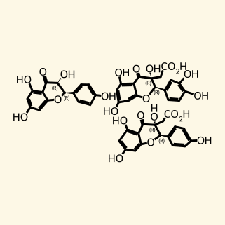 O=C(O)C[C@]1(O)C(=O)c2c(O)cc(O)cc2O[C@@H]1c1ccc(O)c(O)c1.O=C(O)C[C@]1(O)C(=O)c2c(O)cc(O)cc2O[C@@H]1c1ccc(O)cc1.O=C1c2c(O)cc(O)cc2O[C@H](c2ccc(O)cc2)[C@H]1O